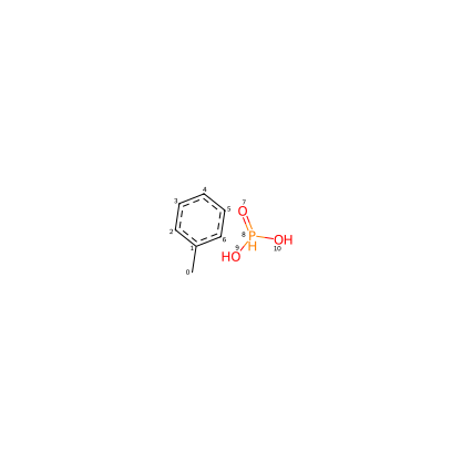 Cc1ccccc1.O=[PH](O)O